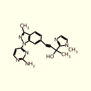 Cc1nn(-c2ccnc(N)n2)c2cc(C#CC(C)(O)c3nccn3C)ccc12